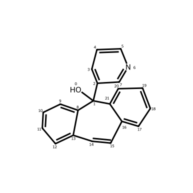 OC1(c2cccnc2)c2ccccc2C=Cc2ccccc21